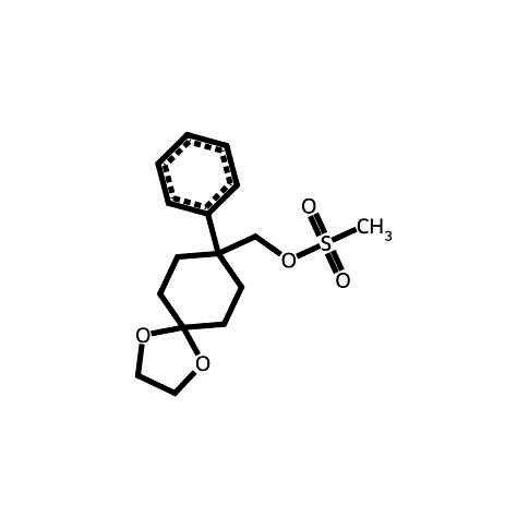 CS(=O)(=O)OCC1(c2ccccc2)CCC2(CC1)OCCO2